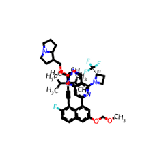 COCOc1cc(-c2cc3nc(OCC4CCN5CCCC45)ncc3c(N3CC[C@H]3C(F)(F)F)n2)c2c(C#C[Si](C(C)C)(C(C)C)C(C)C)c(F)ccc2c1